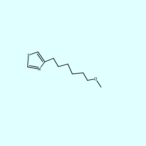 COCCCCCCc1cscn1